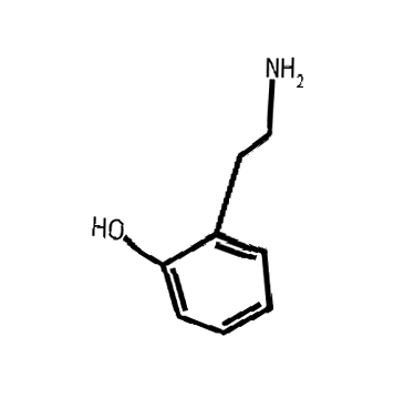 NCCc1ccccc1O